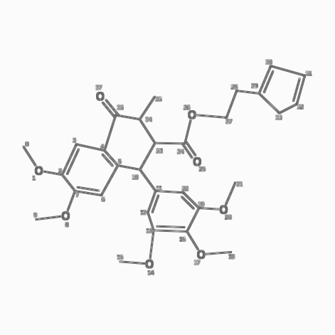 COc1cc2c(cc1OC)C(c1cc(OC)c(OC)c(OC)c1)C(C(=O)OCCC1=CC=CC1)C(C)C2=O